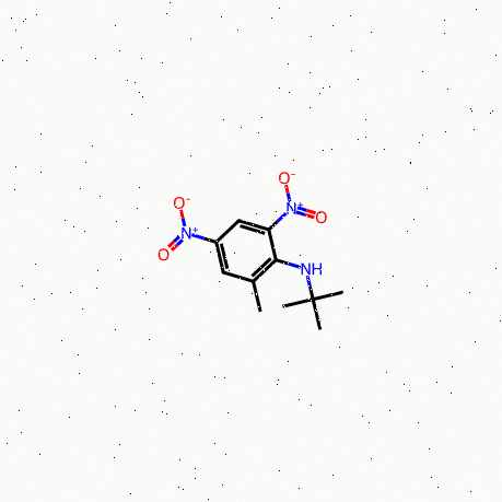 Cc1cc([N+](=O)[O-])cc([N+](=O)[O-])c1NC(C)(C)C